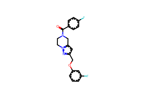 O=C(c1ccc(F)cc1)N1CCn2nc(COc3cccc(F)c3)cc2C1